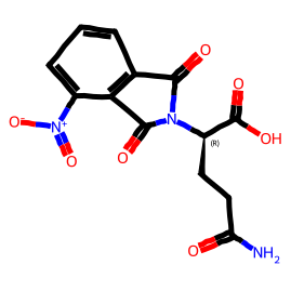 NC(=O)CC[C@H](C(=O)O)N1C(=O)c2cccc([N+](=O)[O-])c2C1=O